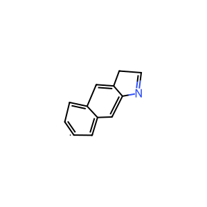 [c]1ccc2cc3c(cc2c1)N=CC3